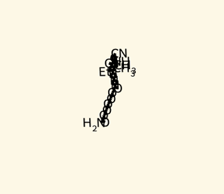 CCc1cc2c(cc1N1CCC(N3CCN(C(=O)CCOCCOCCOCCOCCOCCC(N)=O)CC3)CC1)C(C)(C)c1[nH]c3cc(C#N)ccc3c1C2=O